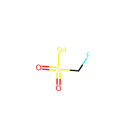 O=S(=O)(S)CF